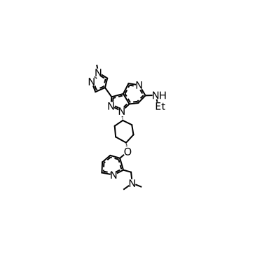 CCNc1cc2c(cn1)c(-c1cnn(C)c1)nn2[C@H]1CC[C@@H](Oc2cccnc2CN(C)C)CC1